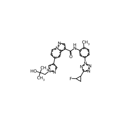 Cc1ccc(-n2nnc(C3CC3F)n2)cc1NC(=O)c1cnn2ccc(-c3cnn(CC(C)(C)O)c3)cc12